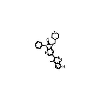 Cc1c(-c2cnc3c(c2)n(CC2CCOCC2)c(=O)n3-c2ccccc2)cnc2[nH]ccc12